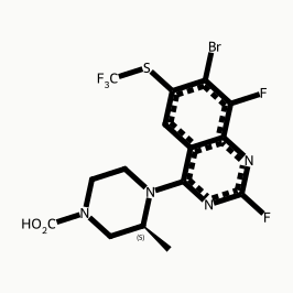 C[C@H]1CN(C(=O)O)CCN1c1nc(F)nc2c(F)c(Br)c(SC(F)(F)F)cc12